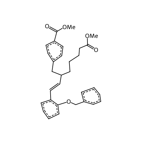 COC(=O)CCCCC(C=Cc1ccccc1OCc1ccccc1)Cc1ccc(C(=O)OC)cc1